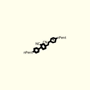 CCCCCc1ccc(-c2ccc(CCC34CCC(CCCCC)(CC3)CC4)c(C#N)c2C#N)cc1